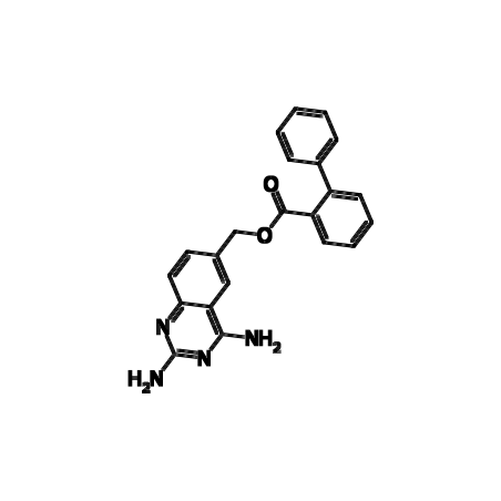 Nc1nc(N)c2cc(COC(=O)c3ccccc3-c3ccccc3)ccc2n1